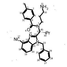 Cc1ccc(C(=O)N(CCCN)[C@@H](c2nc3c(C#N)cccc3n2Cc2ccccc2)C(C)C)cc1